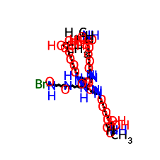 CC(=O)N[C@H]1[C@H]2OC[C@](COCCOCCOCCOCCn3cc(COCC(COCc4cn(CCOCCOCCOCCOC[C@@]56CO[C@@H](O5)[C@H](NC(C)=O)[C@@H](O)[C@H]6O)nn4)(COCc4cn(CCOCCOCCOCCOC[C@@]5(C)O[C@H](O)C[C@@H](O)[C@H]5O)nn4)NC(=O)CCCCCNC(=O)CCCCCNC(=O)CBr)nn3)(O2)[C@H](O)[C@@H]1O